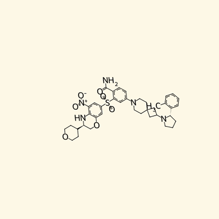 Cc1ccccc1[C@@H]1CCCN1C1CC2(CCN(c3ccc(C(N)=O)c(S(=O)(=O)c4cc5c(c([N+](=O)[O-])c4)N[C@H](C4CCOCC4)CO5)c3)CC2)C1